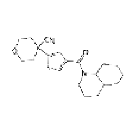 N#CC1(c2cc(C(=O)N3CCCC4CCCCC43)cs2)CCOCC1